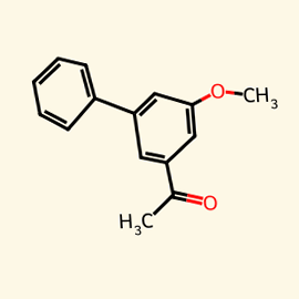 COc1cc(C(C)=O)cc(-c2ccccc2)c1